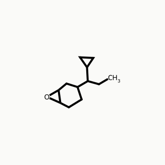 CCC(C1CC1)C1CCC2OC2C1